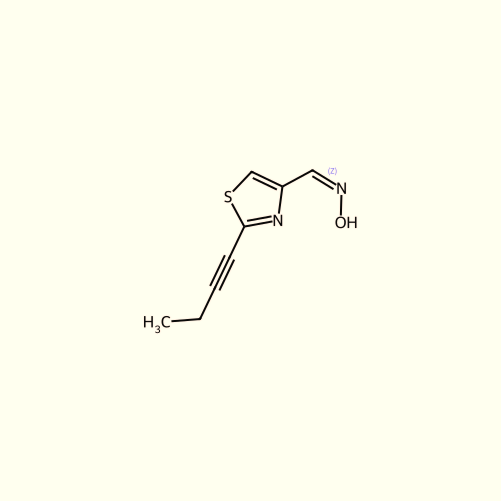 CCC#Cc1nc(/C=N\O)cs1